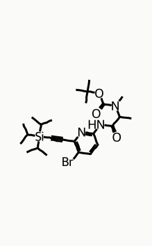 CC(C(=O)Nc1ccc(Br)c(C#C[Si](C(C)C)(C(C)C)C(C)C)n1)N(C)C(=O)OC(C)(C)C